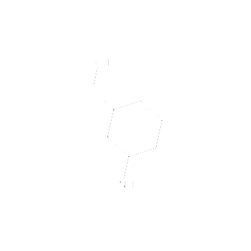 COC1CCCC(N)C1